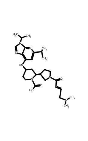 CC(C)c1cc(NC2CCN(C(=O)O)C(C3CCN(C(=O)/C=C/CN(C)C)C3)C2)c2ncn(C(C)C)c2n1